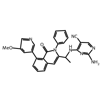 COc1cncc(-c2cccc3cc(C(C)Nc4nc(N)ncc4C#N)n(-c4ccccc4)c(=O)c23)c1